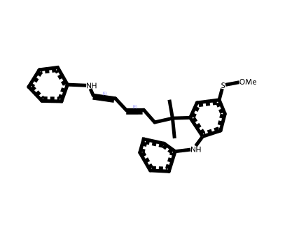 COSc1ccc(Nc2ccccc2)c(C(C)(C)C/C=C/C=C/Nc2ccccc2)c1